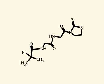 CCC(C)(C)C(=O)NCC(=O)NCC(=O)N1CCSC1=S